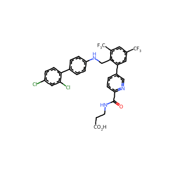 O=C(O)CCNC(=O)c1ccc(-c2cc(C(F)(F)F)cc(C(F)(F)F)c2CNc2ccc(-c3ccc(Cl)cc3Cl)cc2)cn1